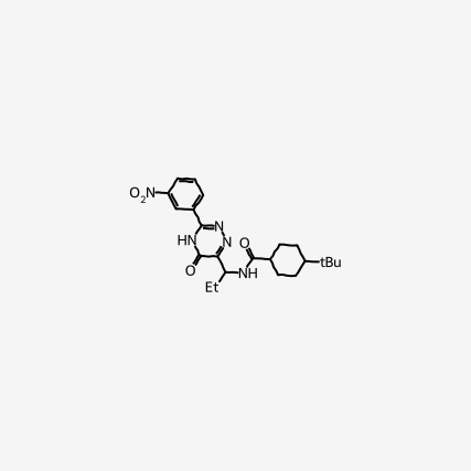 CCC(NC(=O)C1CCC(C(C)(C)C)CC1)c1nnc(-c2cccc([N+](=O)[O-])c2)[nH]c1=O